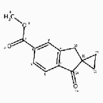 COC(=O)c1ccc2c(c1)CC1(CC1)C2=O